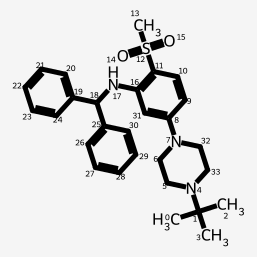 CC(C)(C)N1CCN(c2ccc(S(C)(=O)=O)c(NC(c3ccccc3)c3ccccc3)c2)CC1